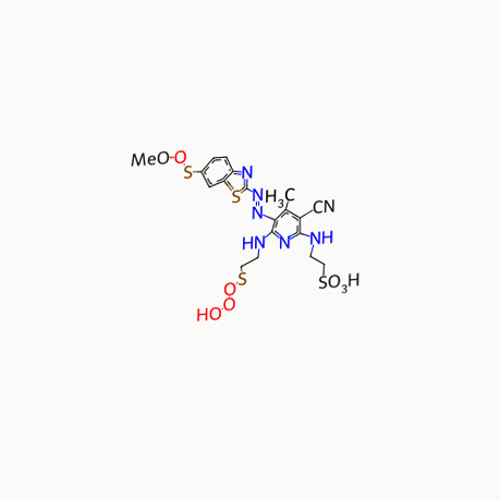 COOSc1ccc2nc(N=Nc3c(NCCSOOO)nc(NCCS(=O)(=O)O)c(C#N)c3C)sc2c1